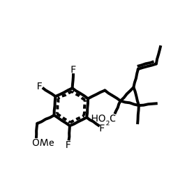 CC=CC1C(C)(C)C1(Cc1c(F)c(F)c(COC)c(F)c1F)C(=O)O